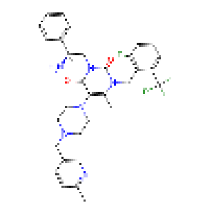 Cc1ccc(CN2CCN(c3c(C)n(Cc4c(F)cccc4C(F)(F)F)c(=O)n(C[C@@H](N)c4ccccc4)c3=O)CC2)cn1